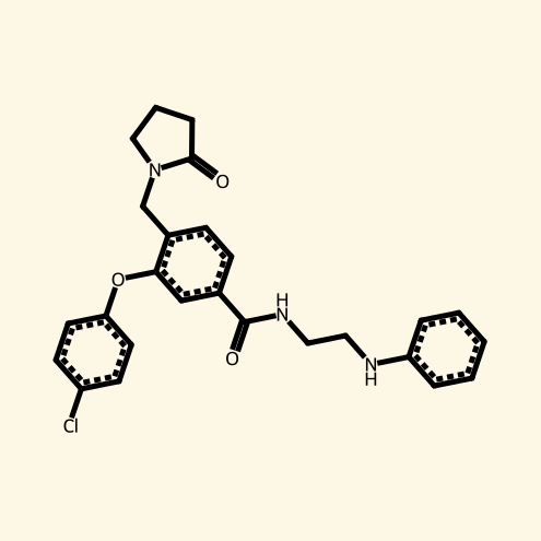 O=C(NCCNc1ccccc1)c1ccc(CN2CCCC2=O)c(Oc2ccc(Cl)cc2)c1